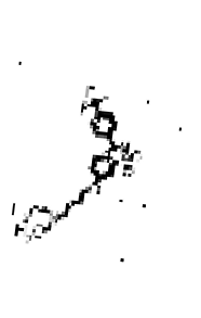 CCN(CC)CCCCOc1ccc2c(c1)S(=O)(=O)N=C2c1ccc(C(F)(F)F)cc1